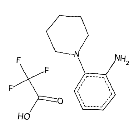 Nc1ccccc1N1CCCCC1.O=C(O)C(F)(F)F